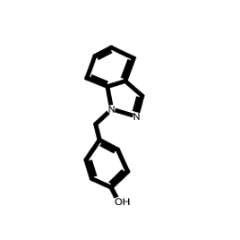 Oc1ccc(Cn2ncc3ccccc32)cc1